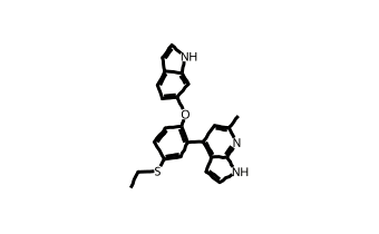 CCSc1ccc(Oc2ccc3cc[nH]c3c2)c(-c2cc(C)nc3[nH]ccc23)c1